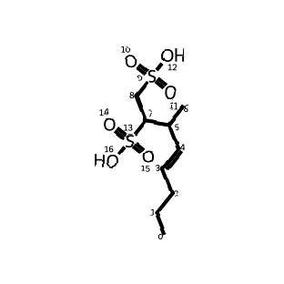 CCCC=CC(C)C(CS(=O)(=O)O)S(=O)(=O)O